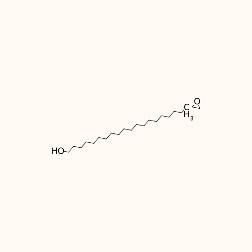 C1CO1.CCCCCCCCCCCCCCCCCCCCO